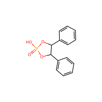 O=P1(O)OC(c2ccccc2)C(c2ccccc2)O1